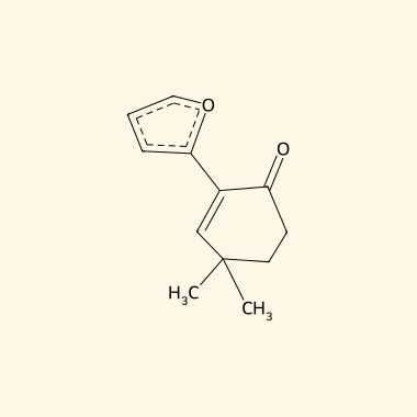 CC1(C)C=C(c2ccco2)C(=O)CC1